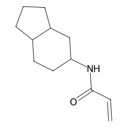 C=CC(=O)NC1CCC2CCCC2C1